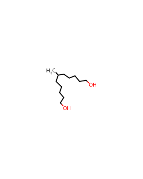 CC(CCCCCO)CCCCCO